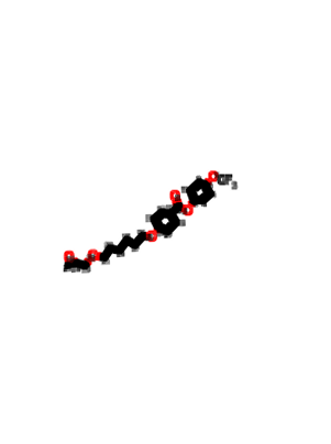 O=C(Oc1ccc(OC(F)(F)F)cc1)c1ccc(OCCCCCCOCC2CO2)cc1